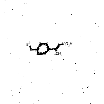 CC(=CC(=O)O)c1ccc(CBr)cc1